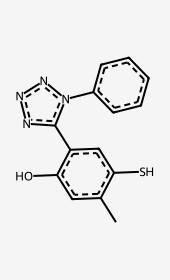 Cc1cc(O)c(-c2nnnn2-c2ccccc2)cc1S